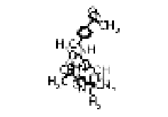 Cc1nocc1-c1ccc(C(C)NC(=O)C2CC(O)CN2C(=O)C(c2cc(C(C)(C)C)no2)C(C)C)cc1